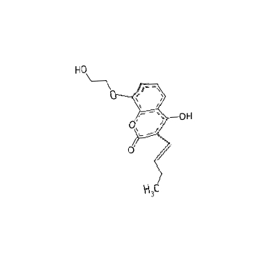 CCC=Cc1c(O)c2cccc(OCCO)c2oc1=O